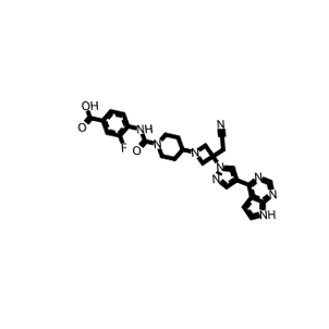 N#CCC1(n2cc(-c3ncnc4[nH]ccc34)cn2)CN(C2CCN(C(=O)Nc3ccc(C(=O)O)cc3F)CC2)C1